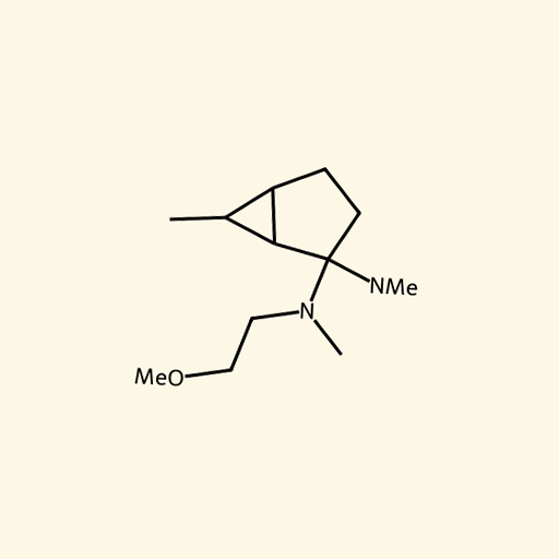 CNC1(N(C)CCOC)CCC2C(C)C21